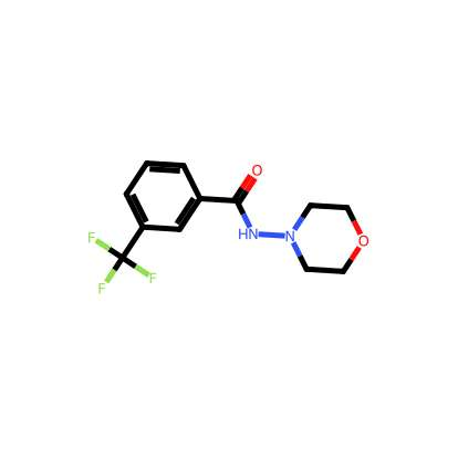 O=C(NN1CCOCC1)c1cccc(C(F)(F)F)c1